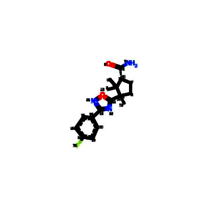 CC1(C)[C@H](C(N)=O)CC[C@]1(C)c1nc(-c2ccc(F)cc2)no1